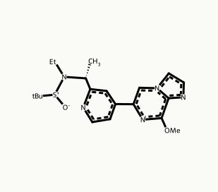 CCN([C@H](C)c1cc(-c2cn3ccnc3c(OC)n2)ccn1)[S+]([O-])C(C)(C)C